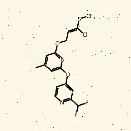 Cc1cc(OCC=C(Cl)SC(F)(F)F)nc(Oc2ccnc(C(F)F)c2)c1